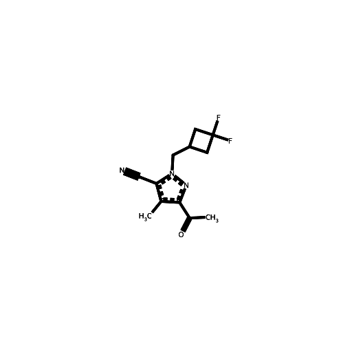 CC(=O)c1nn(CC2CC(F)(F)C2)c(C#N)c1C